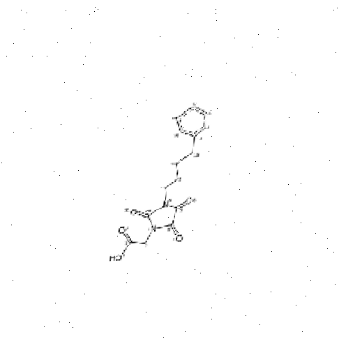 O=C(O)CN1C(=O)C(=O)N(CCCCc2ccccc2)C1=O